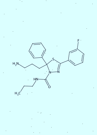 CCCNC(=O)N1N=C(c2cccc(F)c2)SC1(CCCN)c1ccccc1